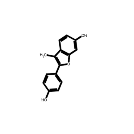 Cc1c(-c2ccc(O)cc2)oc2cc(O)ccc12